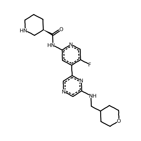 O=C(Nc1cc(-c2cncc(NCC3CCOCC3)n2)c(F)cn1)[C@@H]1CCCNC1